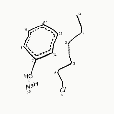 CCCCCCl.Oc1ccccc1.[NaH]